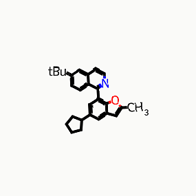 Cc1cc2cc(C3CCCC3)cc(-c3nccc4cc(C(C)(C)C)ccc34)c2o1